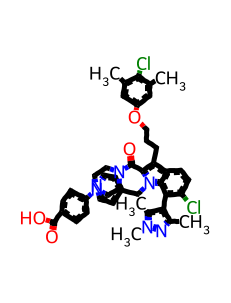 Cc1cc(OCCCc2c(C(=O)N3CCN(c4ccc(C(=O)O)cc4)CC3)n(Cc3ccncc3)c3c(-c4c(C)nn(C)c4C)c(Cl)ccc23)cc(C)c1Cl